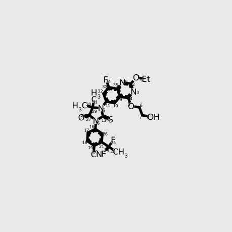 CCOc1nc(OCCO)c2cc(N3C(=S)N(c4ccc(C#N)c(C(C)(F)F)c4)C(=O)C3(C)C)cc(F)c2n1